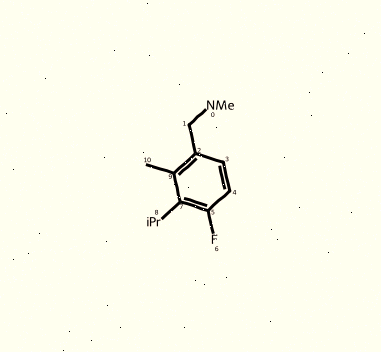 CNCc1ccc(F)c(C(C)C)c1C